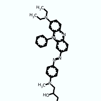 CCN(CC)c1ccc2nc3ccc(N=Nc4ccc(N(C)CC(O)CO)cc4)cc3[n+](-c3ccccc3)c2c1